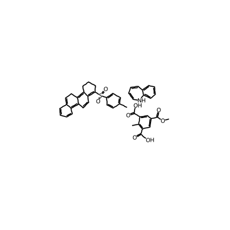 C1=CNc2ccccc2C=C1.COC(=O)c1cc(C(=O)O)c(C)c(C(=O)O)c1.Cc1ccc(S(=O)(=O)C2=c3ccc4c(c3CCC2)CC=c2ccccc2=4)cc1